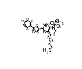 CCCO/N=C1\CCN(S(C)(=O)=O)c2nnc(-c3cnc(-c4cccnc4)s3)nc21